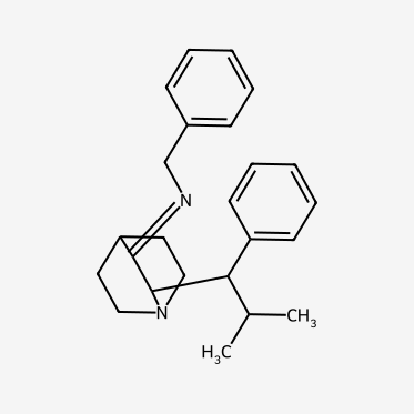 CC(C)C(c1ccccc1)C1C(=NCc2ccccc2)C2CCN1CC2